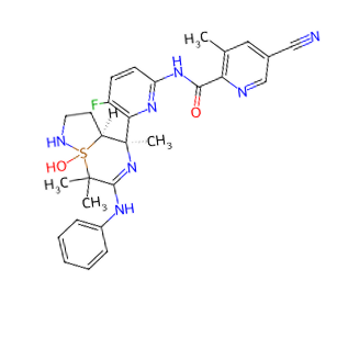 Cc1cc(C#N)cnc1C(=O)Nc1ccc(F)c([C@@]2(C)N=C(Nc3ccccc3)C(C)(C)S3(O)NCC[C@@H]23)n1